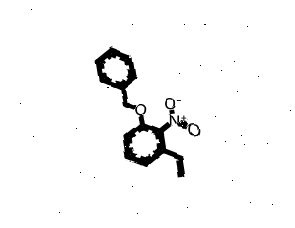 C=Cc1cccc(OCc2ccccc2)c1[N+](=O)[O-]